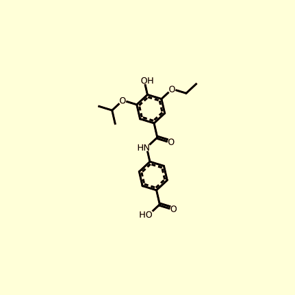 CCOc1cc(C(=O)Nc2ccc(C(=O)O)cc2)cc(OC(C)C)c1O